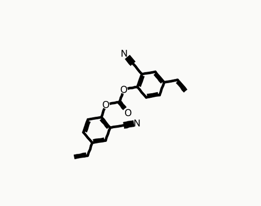 C=Cc1ccc(OC(=O)Oc2ccc(C=C)cc2C#N)c(C#N)c1